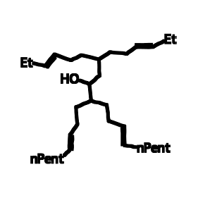 CCC=CCCC(CCC=CCC)CC(O)C(CCC=CCCCCC)CCC=CCCCCC